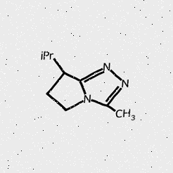 Cc1nnc2n1CCC2C(C)C